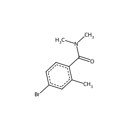 Cc1cc(Br)ccc1C(=O)N(C)C